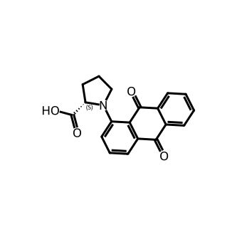 O=C1c2ccccc2C(=O)c2c1cccc2N1CCC[C@H]1C(=O)O